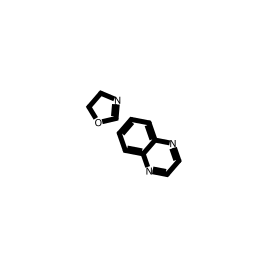 C1=NCCO1.c1ccc2nccnc2c1